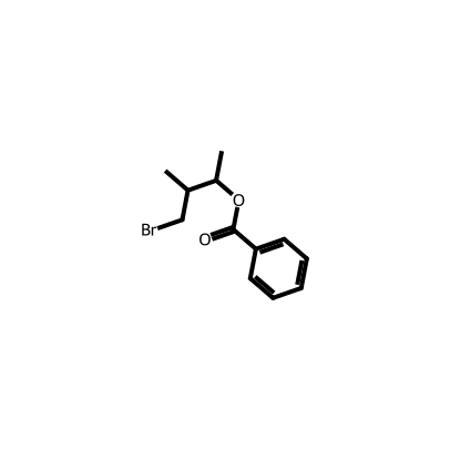 CC(CBr)C(C)OC(=O)c1ccccc1